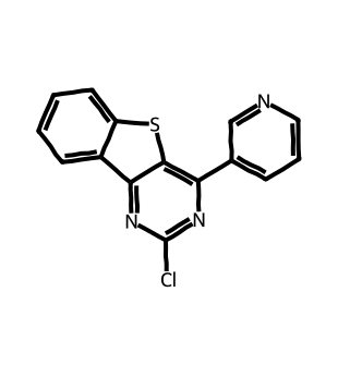 Clc1nc(-c2cccnc2)c2sc3ccccc3c2n1